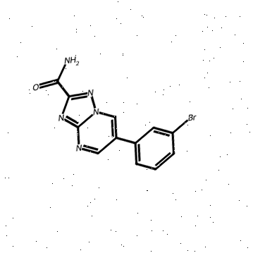 NC(=O)c1nc2ncc(-c3cccc(Br)c3)cn2n1